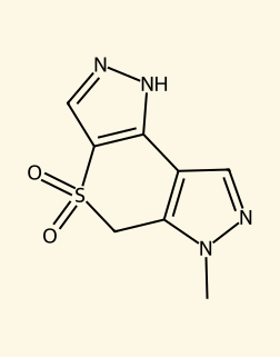 Cn1ncc2c1CS(=O)(=O)c1cn[nH]c1-2